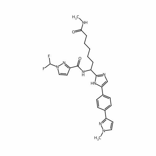 CNC(=O)CCCCCC(NC(=O)c1ccn(C(F)F)n1)c1ncc(-c2ccc(-c3ccn(C)n3)cc2)[nH]1